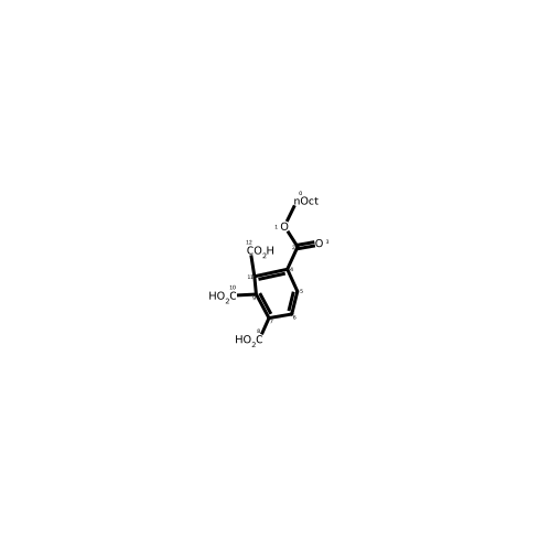 CCCCCCCCOC(=O)c1ccc(C(=O)O)c(C(=O)O)c1C(=O)O